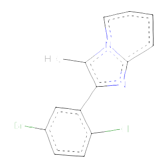 Cc1c(-c2cc(Br)ccc2Cl)nc2ccccn12